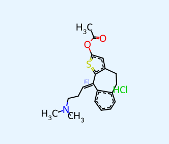 CC(=O)Oc1cc2c(s1)/C(=C/CCN(C)C)c1ccccc1CC2.Cl